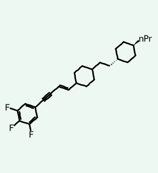 CCC[C@H]1CC[C@H](CCC2CCC(/C=C/C#Cc3cc(F)c(F)c(F)c3)CC2)CC1